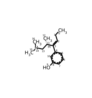 CCC=C(c1cccc(O)c1)[C@@H](C)CN(C)C